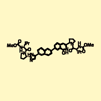 COC(=O)N[C@H](C(=O)N1CCCC1c1cc2ccc(-c3ccc4cc(-c5cnc([C@@H]6CCCN6C(=O)[C@@H](NC(=O)OC)C(C)C)[nH]5)ccc4c3)cc2c(=O)[nH]1)C(C)C